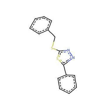 [c]1ccccc1CSc1nnc(-c2ccccc2)s1